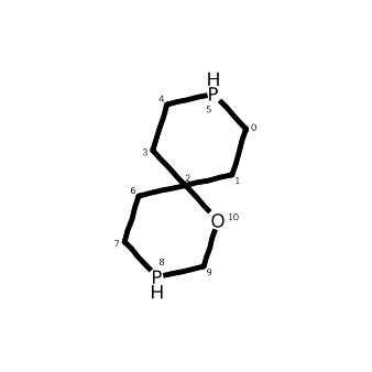 C1CC2(CCP1)CCPCO2